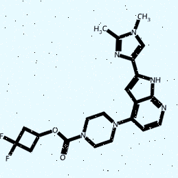 Cc1nc(-c2cc3c(N4CCN(C(=O)OC5CC(F)(F)C5)CC4)ccnc3[nH]2)cn1C